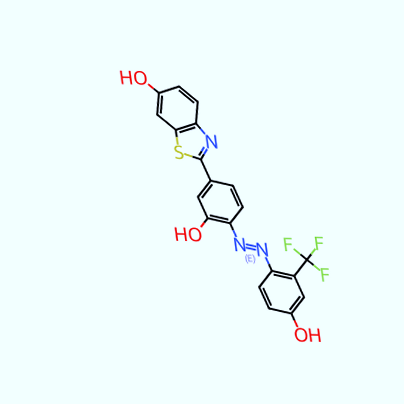 Oc1ccc(/N=N/c2ccc(-c3nc4ccc(O)cc4s3)cc2O)c(C(F)(F)F)c1